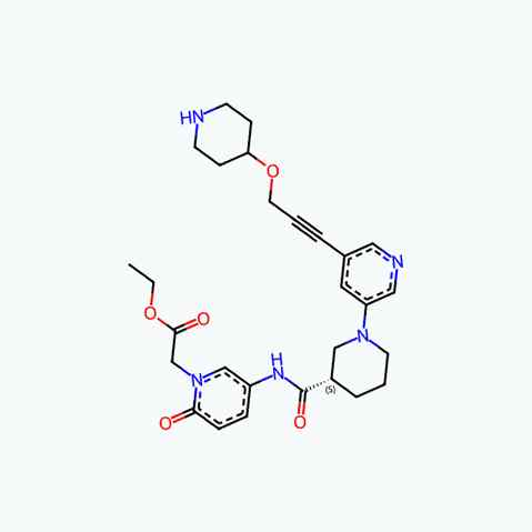 CCOC(=O)Cn1cc(NC(=O)[C@H]2CCCN(c3cncc(C#CCOC4CCNCC4)c3)C2)ccc1=O